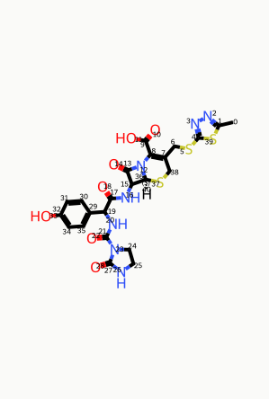 Cc1nnc(SCC2=C(C(=O)O)N3C(=O)C(NC(=O)C(NC(=O)N4CCNC4=O)c4ccc(O)cc4)[C@@H]3SC2)s1